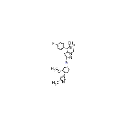 COc1cc(/C=C/c2nc3n(n2)CC[C@H](C)C3c2ccc(F)cc2)ccc1-n1cnc(C)c1